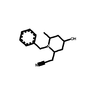 CC1CC(O)CC(CC#N)N1Cc1ccccc1